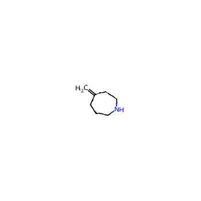 C=C1CCCNCC1